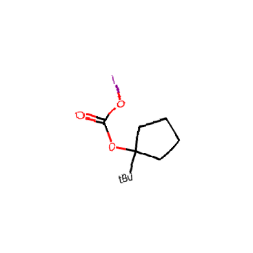 CC(C)(C)C1(OC(=O)OI)CCCC1